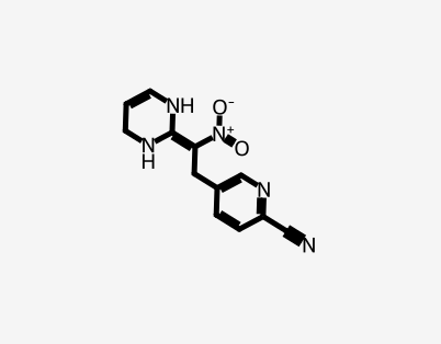 N#Cc1ccc(CC(=C2NC=CCN2)[N+](=O)[O-])cn1